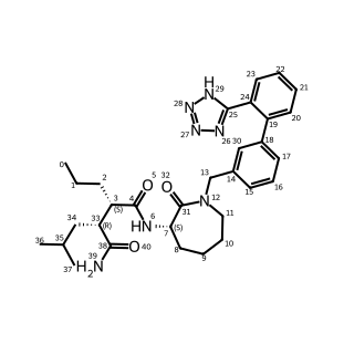 CCC[C@H](C(=O)N[C@H]1CCCCN(Cc2cccc(-c3ccccc3-c3nnn[nH]3)c2)C1=O)[C@@H](CC(C)C)C(N)=O